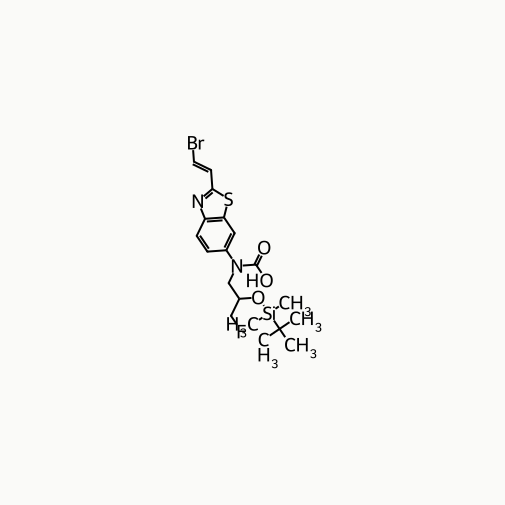 CC(C)(C)[Si](C)(C)OC(CF)CN(C(=O)O)c1ccc2nc(/C=C/Br)sc2c1